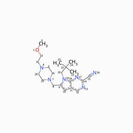 COCCN1CCN(Cc2cc3cnc(C#N)nc3n2CC(C)(C)C)CC1